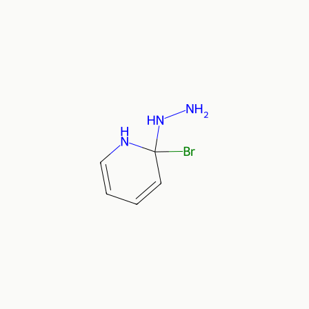 NNC1(Br)C=CC=CN1